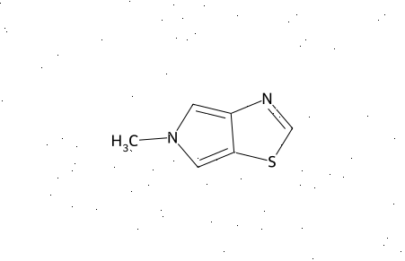 Cn1cc2ncsc2c1